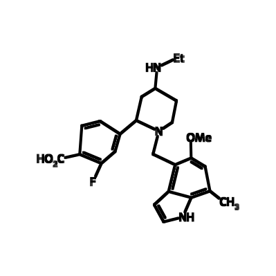 CCNC1CCN(Cc2c(OC)cc(C)c3[nH]ccc23)C(c2ccc(C(=O)O)c(F)c2)C1